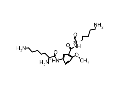 COc1ccc(NC(=O)[C@@H](N)CCCCCN)cc1C(=O)N[C@H](C=O)CCCCCN